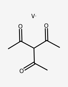 CC(=O)C(C(C)=O)C(C)=O.[V]